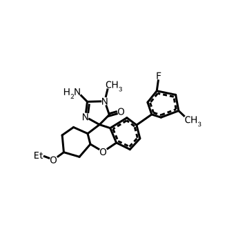 CCOC1CCC2C(C1)Oc1ccc(-c3cc(C)cc(F)c3)cc1C21N=C(N)N(C)C1=O